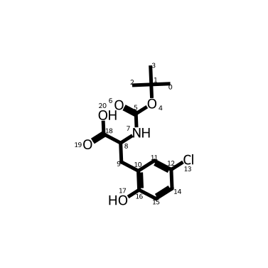 CC(C)(C)OC(=O)NC(Cc1cc(Cl)ccc1O)C(=O)O